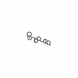 CC1CCC2C=CC(CC3CCCN4C(CC5CCCN6CCCCCC56)C=CCC34)CN2C1